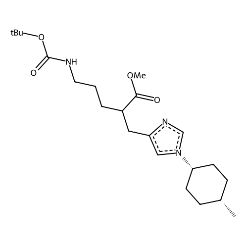 COC(=O)C(CCCNC(=O)OC(C)(C)C)Cc1cn([C@H]2CC[C@@H](C)CC2)cn1